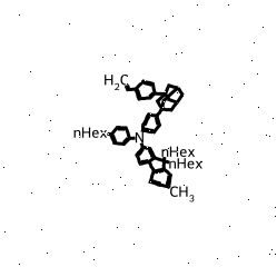 C=Cc1ccc(C23CC4CC(C2)CC(c2ccc(N(c5ccc(CCCCCC)cc5)c5ccc6c(c5)C(CCCCCC)(CCCCCC)c5cc(C)ccc5-6)cc2)(C4)C3)cc1